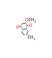 COC1=CC(=O)c2ccc(C)cc2C1=O